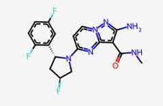 CNC(=O)c1c(N)nn2ccc(N3C[C@@H](F)C[C@@H]3c3cc(F)ccc3F)nc12